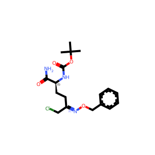 CC(C)(C)OC(=O)N[C@@H](CC/C(CCl)=N\OCc1ccccc1)C(N)=O